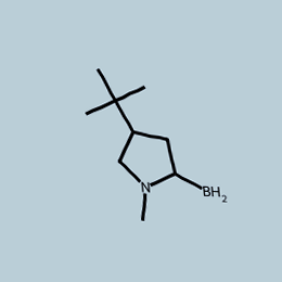 BC1CC(C(C)(C)C)CN1C